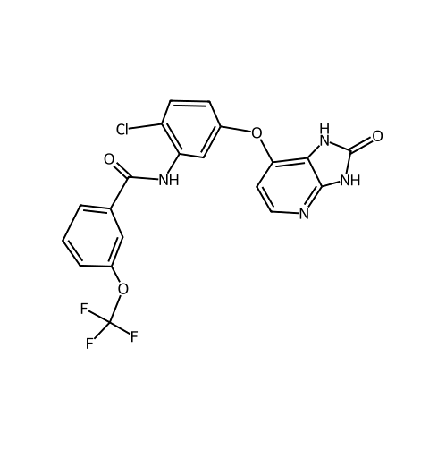 O=C(Nc1cc(Oc2ccnc3[nH]c(=O)[nH]c23)ccc1Cl)c1cccc(OC(F)(F)F)c1